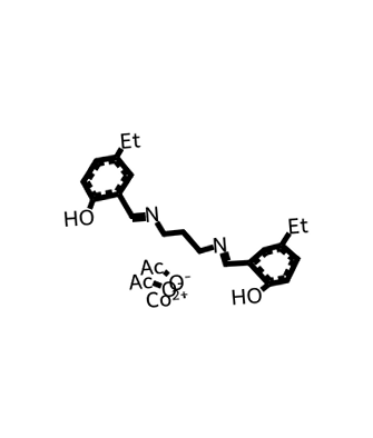 CC(=O)[O-].CC(=O)[O-].CCc1ccc(O)c(C=NCCCN=Cc2cc(CC)ccc2O)c1.[Co+2]